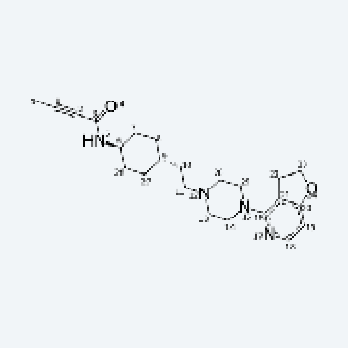 CC#CC(=O)N[C@H]1CC[C@H](CCN2CCN(c3nccc4c3CCO4)CC2)CC1